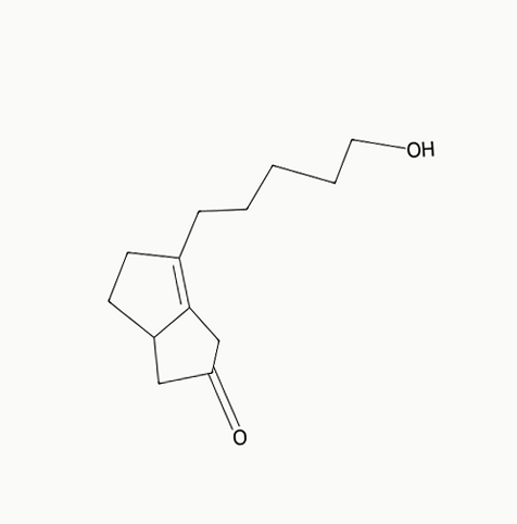 O=C1CC2=C(CCCCCO)CCC2C1